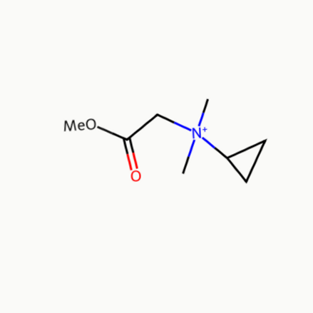 COC(=O)C[N+](C)(C)C1CC1